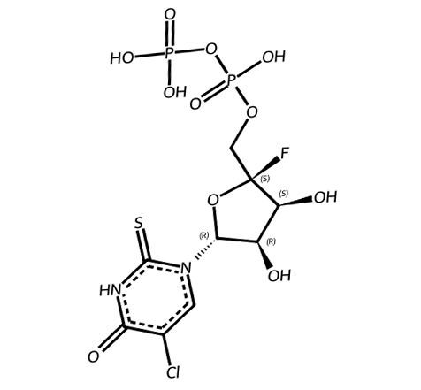 O=c1[nH]c(=S)n([C@@H]2O[C@](F)(COP(=O)(O)OP(=O)(O)O)[C@@H](O)[C@H]2O)cc1Cl